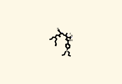 C=CCCC(CCC)CC(=C)/C(C#N)=C\C/C(C)=C1\C=C(c2ccc(N(CCC)CCC)cc2)N\C1=N\F